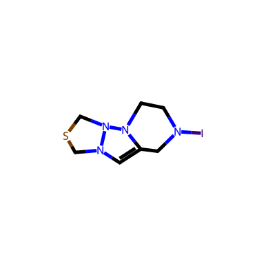 IN1CCN2C(=CN3CSCN32)C1